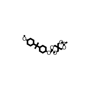 COC1CCC(C(C)(C)C2CCC(OP3OCC4(COP(C)OC4)CO3)CC2)CC1